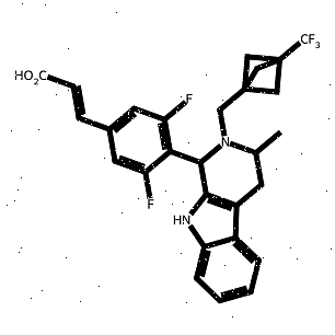 CC1Cc2c([nH]c3ccccc23)C(c2c(F)cc(/C=C/C(=O)O)cc2F)N1CC12CC(C(F)(F)F)(C1)C2